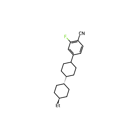 CC[C@H]1CC[C@H](C2CCC(c3ccc(C#N)c(F)c3)CC2)CC1